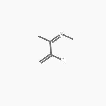 C=C(Cl)/C(C)=N\C